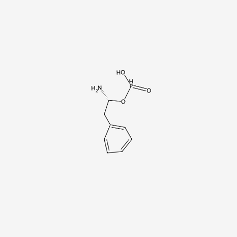 N[C@@H](Cc1ccccc1)O[PH](=O)O